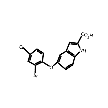 O=C(O)c1cc2cc(Oc3ccc(Cl)cc3Br)ccc2[nH]1